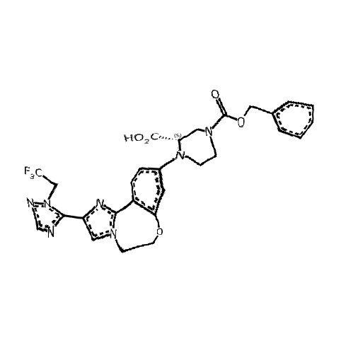 O=C(O)[C@@H]1CN(C(=O)OCc2ccccc2)CCN1c1ccc2c(c1)OCCn1cc(-c3ncnn3CC(F)(F)F)nc1-2